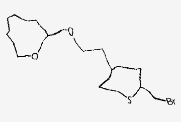 BrC1CC(CCOC2CCCCO2)CS1